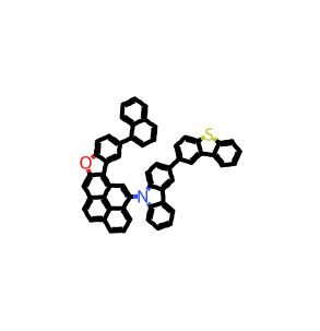 c1ccc2c(-c3ccc4oc5cc6ccc7cccc8c(-n9c%10ccccc%10c%10cc(-c%11ccc%12sc%13ccccc%13c%12c%11)ccc%109)cc(c5c4c3)c6c78)cccc2c1